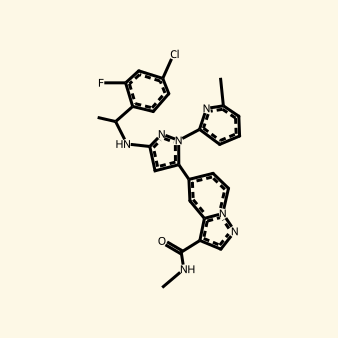 CNC(=O)c1cnn2ccc(-c3cc(NC(C)c4ccc(Cl)cc4F)nn3-c3cccc(C)n3)cc12